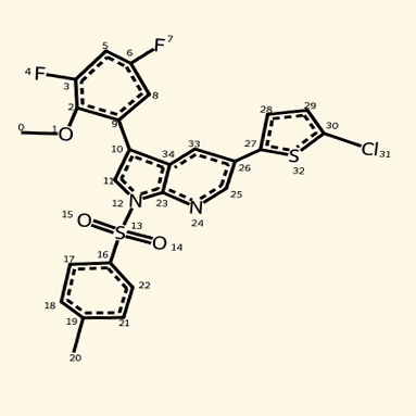 COc1c(F)cc(F)cc1-c1cn(S(=O)(=O)c2ccc(C)cc2)c2ncc(-c3ccc(Cl)s3)cc12